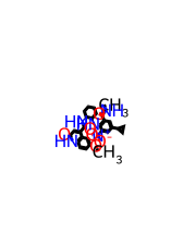 CNC(=O)c1cc(C2CC2)cc([N+](=O)[O-])c1N[C@@H]1CCCC[C@@H]1NC(=O)c1cc(=O)[nH]c2ccc(OC)cc12